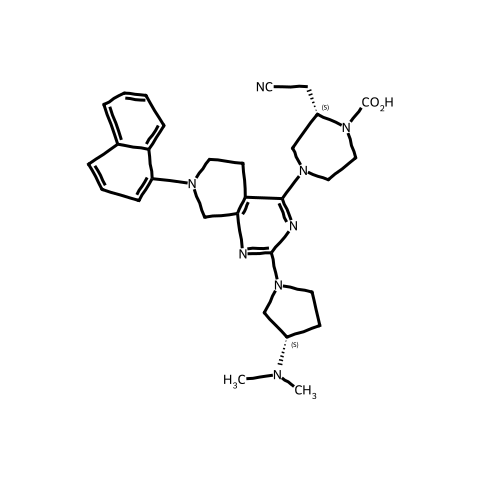 CN(C)[C@H]1CCN(c2nc3c(c(N4CCN(C(=O)O)[C@@H](CC#N)C4)n2)CCN(c2cccc4ccccc24)C3)C1